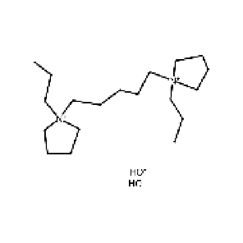 CCC[N+]1(CCCCC[N+]2(CCC)CCCC2)CCCC1.[OH-].[OH-]